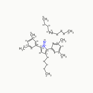 CCCCCC1=C(c2cc(C)cc(C)c2)[N+](=[N-])C(c2cc(C)cc(C)c2)=C1.CCC[CH2][Pd][CH2]CCC